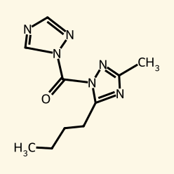 CCCCc1nc(C)nn1C(=O)n1cncn1